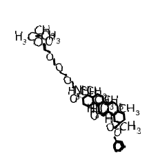 CC(C)(C)OC(=O)CCOCCOCCOCCNC(=O)[C@H]1CC[C@]2(C)[C@H]3C(=O)C=C4[C@@H]5C[C@@](C)(C(=O)OCc6ccccc6)CC[C@]5(C)CC[C@@]4(C)[C@]3(C)CC[C@H]2C1(C)C